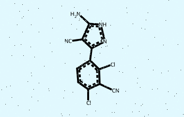 N#Cc1c(-c2ccc(Cl)c(C#N)c2Cl)n[nH]c1N